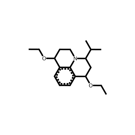 CCOC1CCN2c3c1cccc3C(OCC)CC2C(C)C